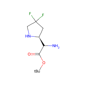 CC(C)(C)OC(=O)C(N)[C@@H]1CC(F)(F)CN1